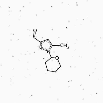 Cc1cc(C=O)nn1C1CCCCO1